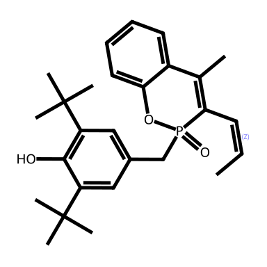 C/C=C\C1=C(C)c2ccccc2OP1(=O)Cc1cc(C(C)(C)C)c(O)c(C(C)(C)C)c1